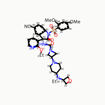 CCOc1ncccc1[C@]1(NC(=O)N2CC(N3CCC(N(CC)C4COC4)CC3)C2)C(=O)N(S(=O)(=O)c2ccc(OC)cc2OC)c2ccc(C#N)cc21